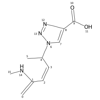 C=C(/C=C\C(C)n1cc(C(=O)O)nn1)NC